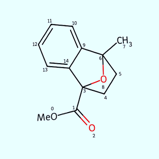 COC(=O)C12CCC(C)(O1)c1ccccc12